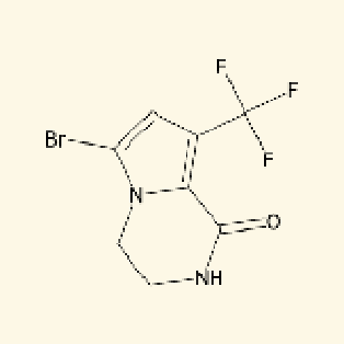 O=C1NCCn2c(Br)cc(C(F)(F)F)c21